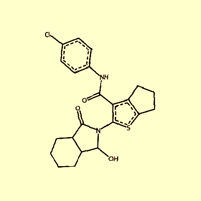 O=C(Nc1ccc(Cl)cc1)c1c(N2C(=O)C3CCCCC3C2O)sc2c1CCC2